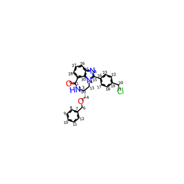 O=C1N[C@@H](COCc2ccccc2)Cn2c(-c3ccc(CCl)cc3)nc3cccc1c32